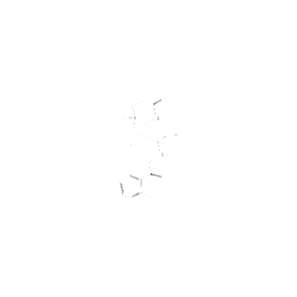 CCCCC[C@@H](NNC(=O)c1ccccc1C=O)C(O)[C@H]1NC(=O)OCC1(C)C